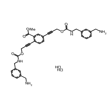 COC(=O)c1cc(C#CCOC(=O)NCc2cccc(CN)c2)ccc1C#CCOC(=O)NCc1cccc(CN)c1.Cl.Cl